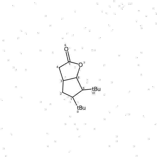 CC(C)(C)C1CC2CC(=O)OC2C1C(C)(C)C